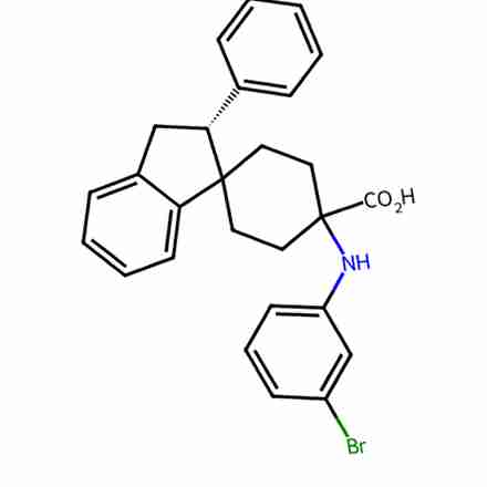 O=C(O)C1(Nc2cccc(Br)c2)CCC2(CC1)c1ccccc1C[C@@H]2c1ccccc1